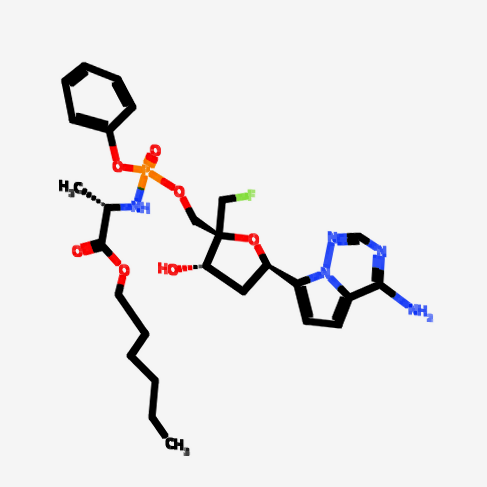 CCCCCCOC(=O)[C@H](C)NP(=O)(OC[C@@]1(CF)O[C@@H](c2ccc3c(N)ncnn23)C[C@@H]1O)Oc1ccccc1